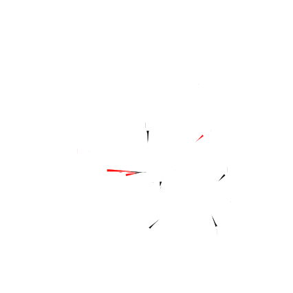 CC(=O)O[C@H]1C(C)=C[C@@]23C(=O)[C@H]([C@@H]4C[C@@H]4C[C@H]2C)[C@H](OS(=O)(=O)C(F)(F)F)C[C@H]2OC(O)O[C@@]213